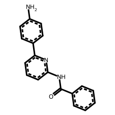 Nc1ccc(-c2cccc(NC(=O)c3ccccc3)n2)cc1